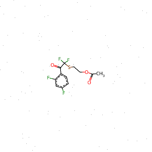 CC(=O)OCCSC(F)(F)C(=O)c1ccc(F)cc1F